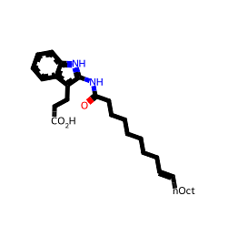 CCCCCCCCC=CCCCCCCCC(=O)Nc1[nH]c2ccccc2c1CCC(=O)O